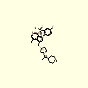 Cc1cncc2c1c(C[C@@H]1CCN([C@H](C)C3CCOCC3)C1)cn2-c1ccc(F)cc1S(=N)(=O)C(C)C